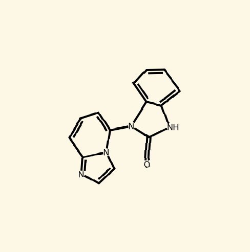 O=c1[nH]c2ccccc2n1-c1cccc2nccn12